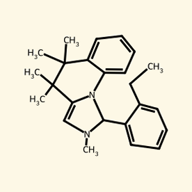 CCc1ccccc1C1N(C)C=C2N1c1ccccc1C(C)(C)C2(C)C